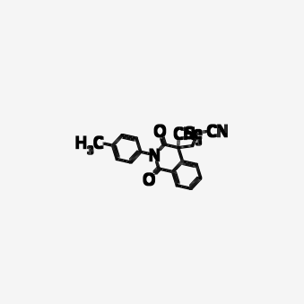 Cc1ccc(N2C(=O)c3ccccc3C(C)(C[Se]C#N)C2=O)cc1